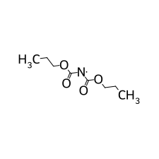 CCCOC(=O)[N]C(=O)OCCC